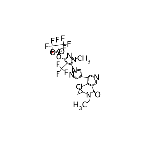 CCN(C(=O)c1cncc(-c2cnn(-c3c(C(F)(F)F)c(OS(=O)(=O)C(F)(C(F)(F)F)C(F)(F)F)nn3C)c2)c1Cl)C1CC1